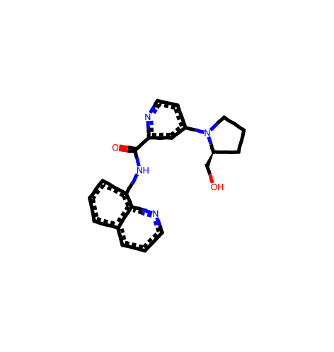 O=C(Nc1cccc2cccnc12)c1cc(N2CCC[C@H]2CO)ccn1